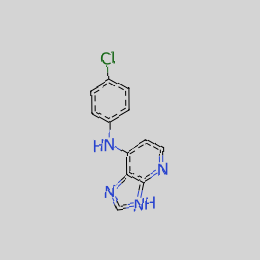 Clc1ccc(Nc2ccnc3[nH]cnc23)cc1